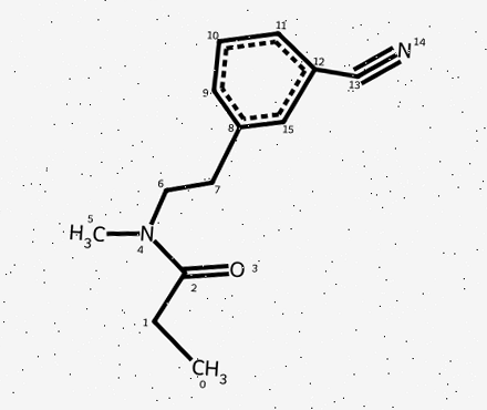 CCC(=O)N(C)CCc1cccc(C#N)c1